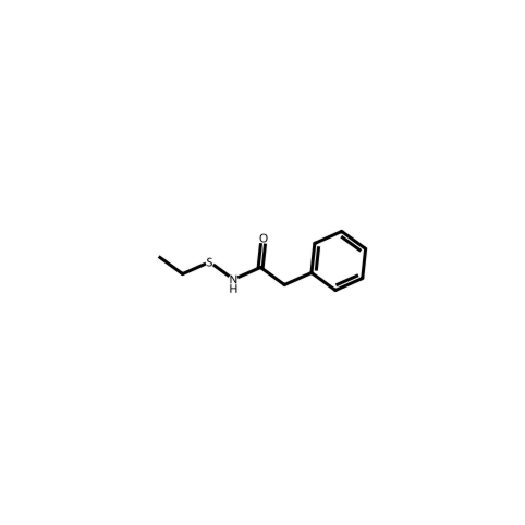 CCSNC(=O)Cc1ccccc1